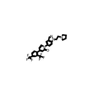 O=c1cc(-c2ccc(C(F)(F)F)cc2C(F)(F)F)ccn1-c1ccc2c(cnn2CCN2CCCC2)c1